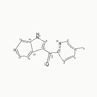 Cc1ccc(C(=O)c2c[nH]c3ccccc23)nc1